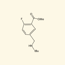 COC(=O)c1cc(CNC(C)(C)C)ccc1F